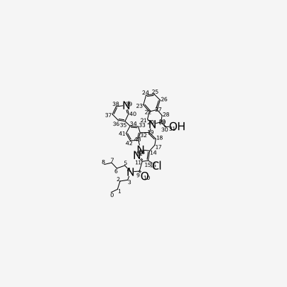 CCCCN(CCCC)C(=O)c1nn2c(c1Cl)CC=C(N1Cc3ccccc3C[C@H]1CO)c1cc(-c3cccnc3)ccc1-2